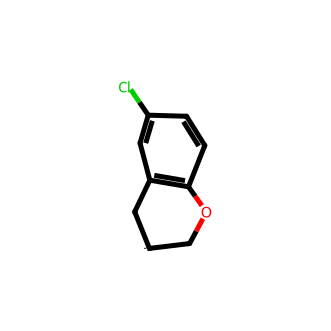 Clc1ccc2c(c1)C[CH]CO2